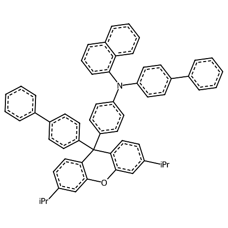 CC(C)c1ccc2c(c1)Oc1cc(C(C)C)ccc1C2(c1ccc(-c2ccccc2)cc1)c1ccc(N(c2ccc(-c3ccccc3)cc2)c2cccc3ccccc23)cc1